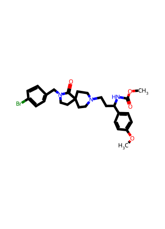 COC(=O)NC(CCN1CCC2(CC1)CCN(Cc1ccc(Br)cc1)C2=O)c1ccc(OC)cc1